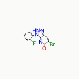 O=c1nc2n(-c3ccccc3F)[nH]nc-2cc1Br